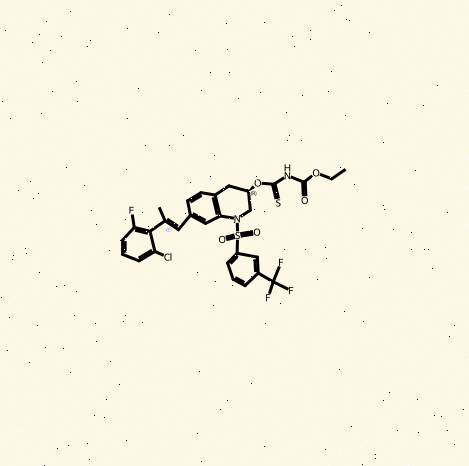 CCOC(=O)NC(=S)O[C@@H]1Cc2ccc(/C=C(\C)c3c(F)cccc3Cl)cc2N(S(=O)(=O)c2cccc(C(F)(F)F)c2)C1